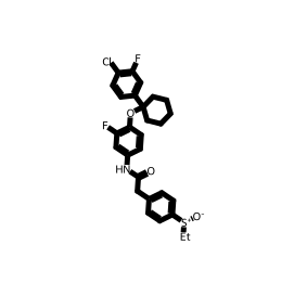 CC[S+]([O-])c1ccc(CC(=O)Nc2ccc(OC3(c4ccc(Cl)c(F)c4)CCCCC3)c(F)c2)cc1